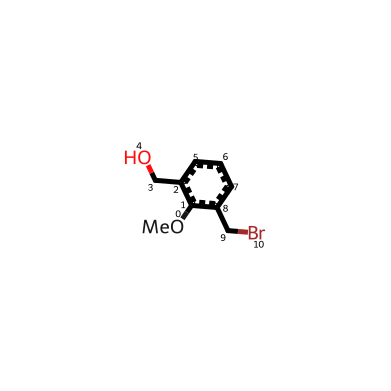 COc1c(CO)cccc1CBr